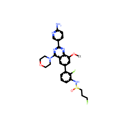 CCOc1cc(-c2cccc(N[S+]([O-])CCCF)c2F)cc2c(N3CCOCC3)nc(-c3ccc(N)nc3)nc12